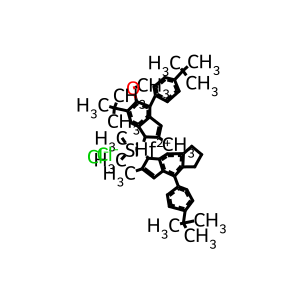 COc1c(C(C)(C)C)cc2c(c1-c1ccc(C(C)(C)C)cc1)C=C(C)[CH]2[Hf+2]([CH]1C(C)=Cc2c1cc1c(c2-c2ccc(C(C)(C)C)cc2)CCC1)=[Si](C)C.[Cl-].[Cl-]